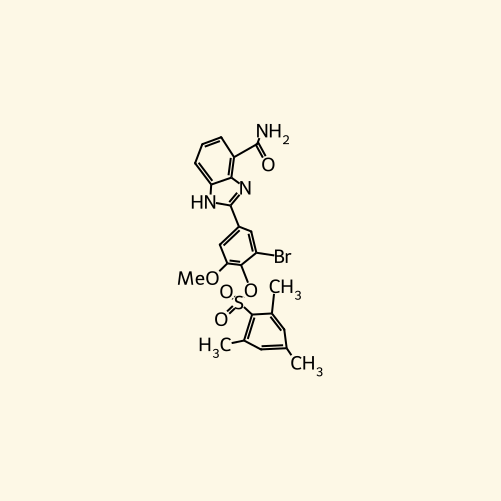 COc1cc(-c2nc3c(C(N)=O)cccc3[nH]2)cc(Br)c1OS(=O)(=O)c1c(C)cc(C)cc1C